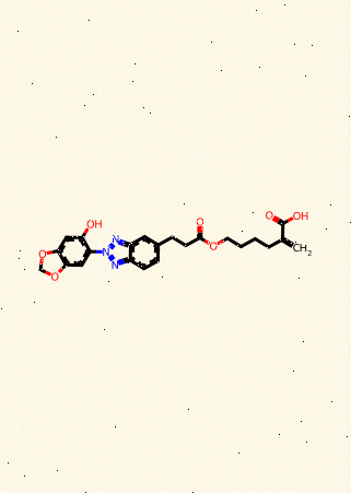 C=C(CCCCOC(=O)CCc1ccc2nn(-c3cc4c(cc3O)OCO4)nc2c1)C(=O)O